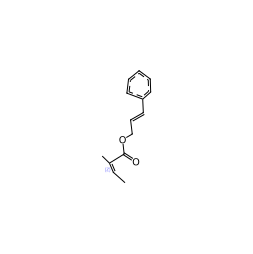 C/C=C(/C)C(=O)OCC=Cc1ccccc1